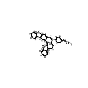 COc1ccc(-c2cc3cc4sc5ccccc5c4cc3c3c2ccc2c4ccccc4oc23)cc1